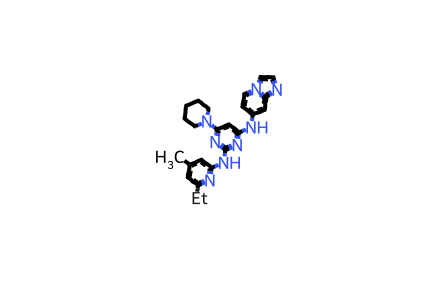 CCc1cc(C)cc(Nc2nc(Nc3ccn4ccnc4c3)cc(N3CCCCC3)n2)n1